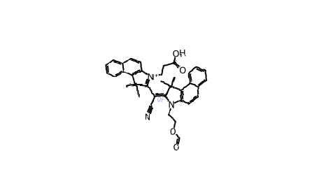 CC1(C)C(/C(C#N)=C2/N(CCOC=O)c3ccc4ccccc4c3C2(C)C)=[N+](CCC(=O)O)c2ccc3ccccc3c21